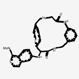 CNc1nccc2cc(NC3C(=O)NCc4cccc(c4)NC(=O)CNCc4ccc3cc4)ccc12